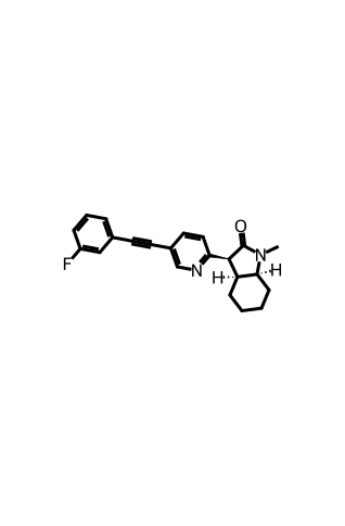 CN1C(=O)[C@H](c2ccc(C#Cc3cccc(F)c3)cn2)[C@@H]2CCCC[C@@H]21